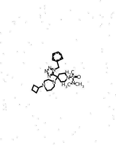 C=S(=O)(N(C)C)N1CCC(c2nnnn2Cc2ccccc2)(N2CCCN(C3CCC3)CC2)CC1